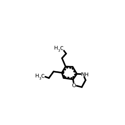 CCCc1cc2c(cc1CCC)OCCN2